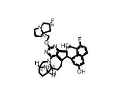 C#Cc1c(F)ccc2cc(O)cc(C3C(F)=c4nc(OC[C@@]56CCCN5C[C@H](F)C6)nc5c4=C3CC[C@@H]3[C@@H]4CC[C@H](CN53)N4)c12